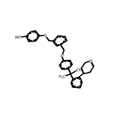 CC(C)(c1ccc(OCc2cccc(COc3ccc(C#N)cc3)c2)cc1)c1ccccc1C1CCOCC1